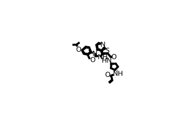 C=CC(=O)N[C@@H]1CC[C@H](NC(=O)c2sc3nccc4c3c2NC(=O)N4c2ccc(OC(C)C)cc2C)C1